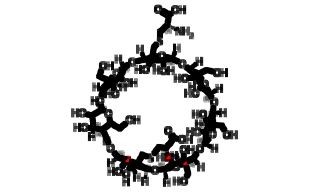 N[C@H](CSCC1C[C@@H]2O[C@@H]3C(CO)O[C@H](O[C@@H]4C(CO)O[C@H](O[C@@H]5C(CSC[C@@H](N)C(=O)O)O[C@H](O[C@@H]6C(CO)O[C@H](O[C@@H]7C(CO)O[C@H](O[C@@H]8C(CO)O[C@H](O[C@H]1[C@H](O)C2O)C(O)[C@H]8O)C(O)[C@H]7O)C(O)[C@H]6O)C(O)[C@H]5O)C(O)[C@H]4O)C(O)[C@H]3O)C(=O)O